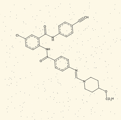 C#Cc1ccc(NC(=O)c2cc(Cl)ccc2NC(=O)c2ccc(N=CN3CCC(OC(=O)O)CC3)cc2)cc1